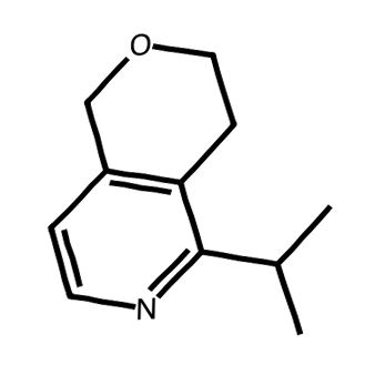 CC(C)c1nccc2c1CCOC2